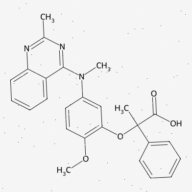 COc1ccc(N(C)c2nc(C)nc3ccccc23)cc1OC(C)(C(=O)O)c1ccccc1